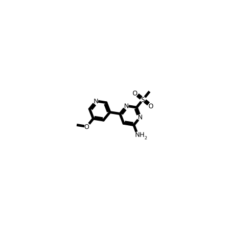 COc1cncc(-c2cc(N)nc(S(C)(=O)=O)n2)c1